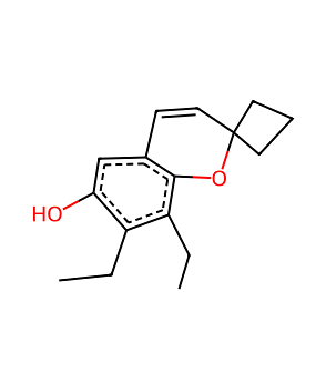 CCc1c(O)cc2c(c1CC)OC1(C=C2)CCC1